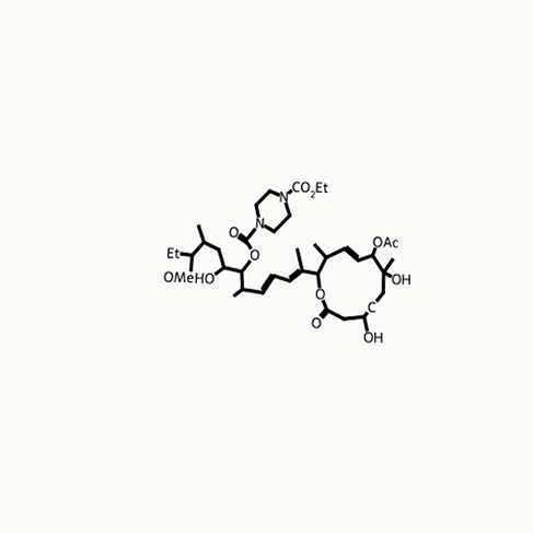 CCOC(=O)N1CCN(C(=O)OC(C(C)/C=C/C=C(\C)C2OC(=O)CC(O)CCC(C)(O)C(OC(C)=O)/C=C/C2C)C(O)CC(C)C(CC)OC)CC1